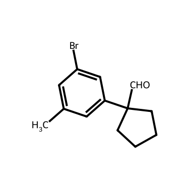 Cc1cc(Br)cc(C2(C=O)CCCC2)c1